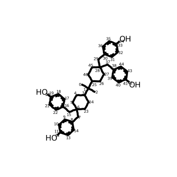 CC(C)(C1CCC(Cc2ccc(O)cc2)(Cc2ccc(O)cc2)CC1)C1CCC(Cc2ccc(O)cc2)(Cc2ccc(O)cc2)CC1